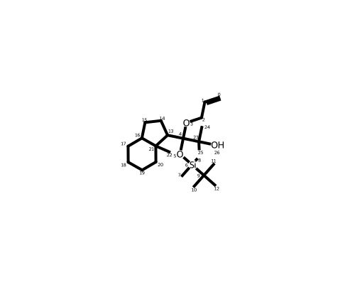 C=CCOC(O[Si](C)(C)C(C)(C)C)(C1CCC2CCCCC21C)C(C)(C)O